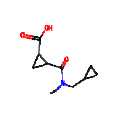 CN(CC1CC1)C(=O)C1CC1C(=O)O